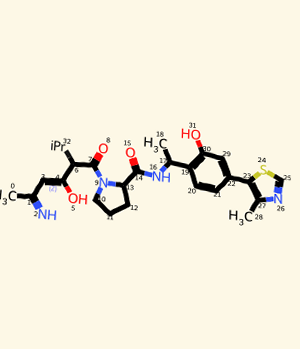 CC(=N)/C=C(\O)C(C(=O)N1CCCC1C(=O)NC(C)c1ccc(-c2scnc2C)cc1O)C(C)C